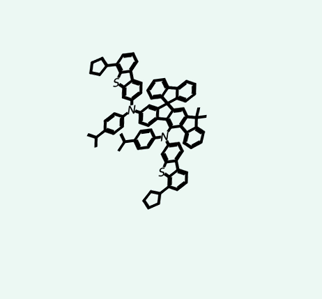 CC(C)c1ccc(N(c2ccc3c(c2)C2(c4ccccc4-c4ccccc42)c2cc4c(c(N(c5ccc(C(C)C)cc5)c5ccc6c(c5)sc5c(C7CCCC7)cccc56)c2-3)-c2ccccc2C4(C)C)c2ccc3c(c2)sc2c(C4CCCC4)cccc23)cc1